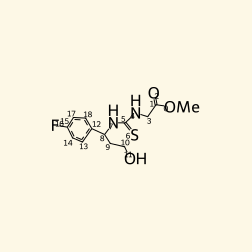 COC(=O)CNC(=S)NC(CCO)c1ccc(F)cc1